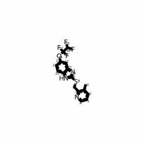 Cc1cccnc1CSc1nc2cc(OC(F)(F)C(F)F)ccc2[nH]1